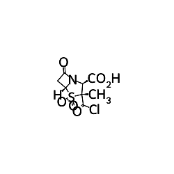 C[C@]1(C(=O)Cl)[C@H](C(=O)O)N2C(=O)C[C@H]2S1(=O)=O